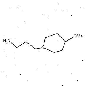 COC1CCN(CCCN)CC1